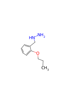 CCCOc1ccccc1CNN